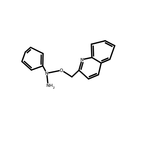 NN(OCc1ccc2ccccc2n1)c1ccccc1